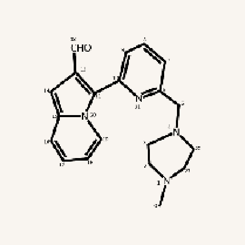 CN1CCN(Cc2cccc(-c3c(C=O)cc4ccccn34)n2)CC1